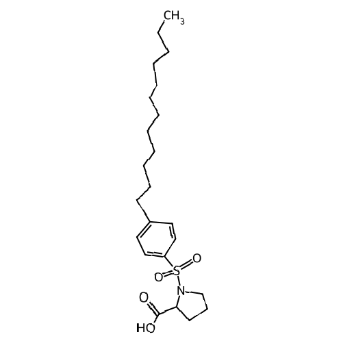 CCCCCCCCCCCCc1ccc(S(=O)(=O)N2CCCC2C(=O)O)cc1